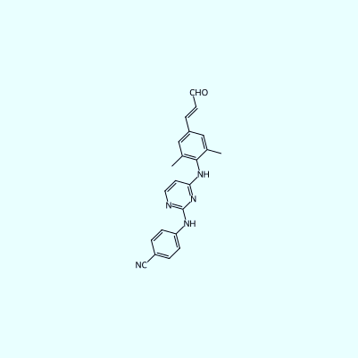 Cc1cc(/C=C/C=O)cc(C)c1Nc1ccnc(Nc2ccc(C#N)cc2)n1